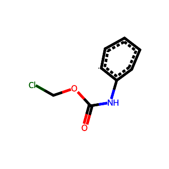 O=C(Nc1[c]cccc1)OCCl